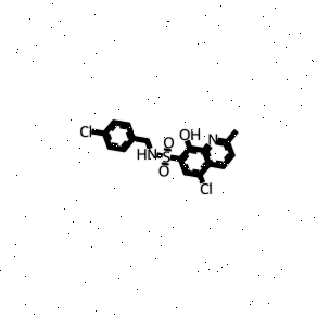 Cc1ccc2c(Cl)cc(S(=O)(=O)NCc3ccc(Cl)cc3)c(O)c2n1